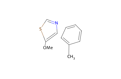 COc1cncs1.Cc1ccccc1